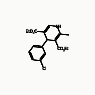 CCOC(=O)C1=CNC(C)=C(C(=O)OCC)C1c1cccc(Cl)c1